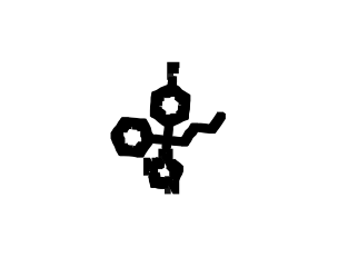 CCCCC(c1ccccc1)(c1ccc(F)cc1)n1cncn1